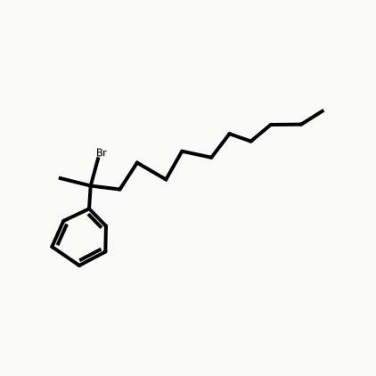 CCCCCCCCCCC(C)(Br)c1ccccc1